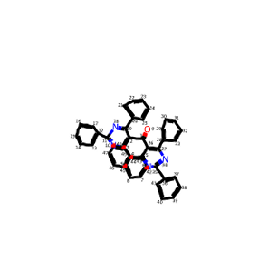 O=C(c1c(-c2ccccc2)nc(-c2ccccc2)nc1-c1ccccc1)c1c(-c2ccccc2)nc(-c2ccccc2)nc1-c1ccccc1